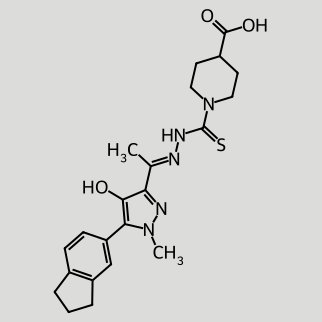 C/C(=N\NC(=S)N1CCC(C(=O)O)CC1)c1nn(C)c(-c2ccc3c(c2)CCC3)c1O